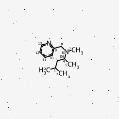 CC(C)C[C@H](C)N(C)Cc1ccccn1